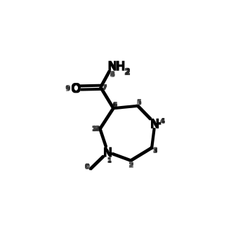 CN1CC[N]CC(C(N)=O)C1